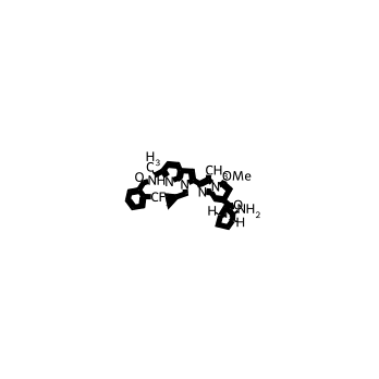 COc1cc(C(=O)N2[C@H]3CC[C@@H]2[C@H](N)C3)cc2nc(-c3cc4ccc([C@@H](C)NC(=O)c5ccccc5C(F)(F)F)nc4n3CC3CC3)c(C)n12